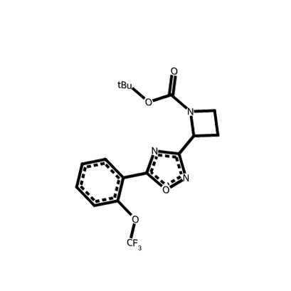 CC(C)(C)OC(=O)N1CCC1c1noc(-c2ccccc2OC(F)(F)F)n1